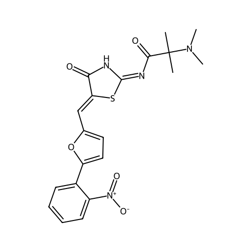 CN(C)C(C)(C)C(=O)/N=C1\NC(=O)/C(=C/c2ccc(-c3ccccc3[N+](=O)[O-])o2)S1